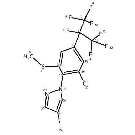 CSc1cc(C(F)(C(F)(F)F)C(F)(F)F)cc(Cl)c1-n1cc(I)cn1